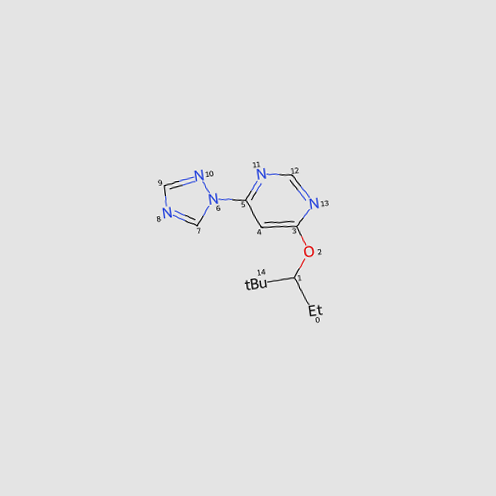 CCC(Oc1cc(-n2cncn2)ncn1)C(C)(C)C